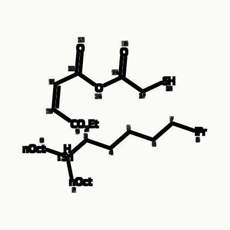 CCCCCCC[CH2][SnH]([CH2]CCCCCCC)[CH2]CCCCC(C)C.CCOC(=O)/C=C\C(=O)OC(=O)CS